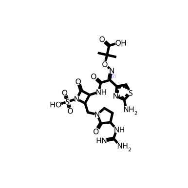 CC(C)(O/N=C(\C(=O)NC1C(=O)N(S(=O)(=O)O)C1CN1CCC(NC(=N)N)C1=O)c1csc(N)n1)C(=O)O